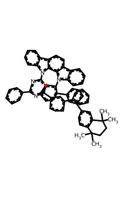 CC1(C)CCC(C)(C)c2cc(-c3cccc(-c4ccccc4-n4c5ccccc5c5ccc6c7ccccc7n(-c7nc(-c8ccccc8)nc(-c8cccc(-c9ccccc9)c8)n7)c6c54)c3)ccc21